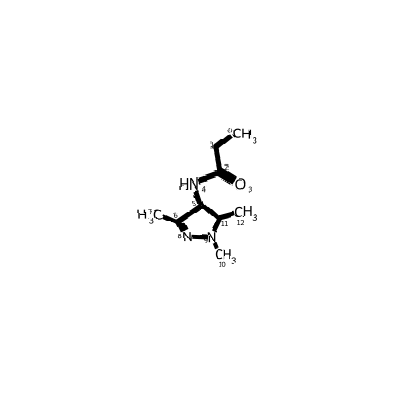 CCC(=O)NC1C(C)=NN(C)C1C